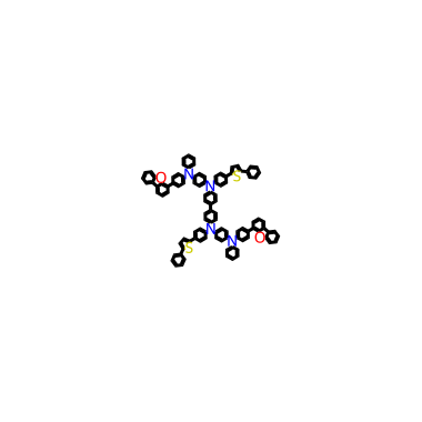 c1ccc(-c2ccc(-c3ccc(N(c4ccc(-c5ccc(N(c6ccc(-c7ccc(-c8ccccc8)s7)cc6)c6ccc(N(c7ccccc7)c7ccc(-c8cccc9c8oc8ccccc89)cc7)cc6)cc5)cc4)c4ccc(N(c5ccccc5)c5ccc(-c6cccc7c6oc6ccccc67)cc5)cc4)cc3)s2)cc1